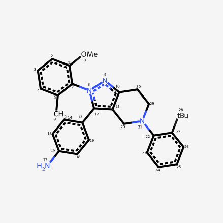 COc1cccc(C)c1-n1nc2c(c1-c1ccc(N)cc1)CN(c1ccccc1C(C)(C)C)CC2